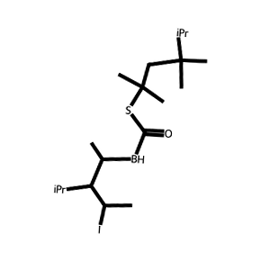 CC(C)C(C(C)I)C(C)BC(=O)SC(C)(C)CC(C)(C)C(C)C